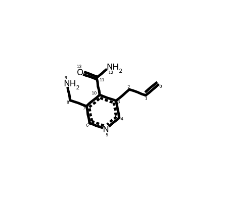 C=CCc1cncc(CN)c1C(N)=O